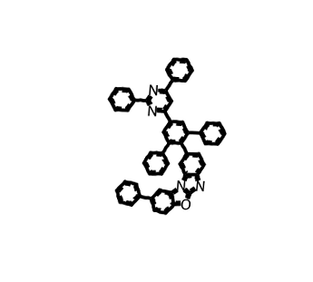 c1ccc(-c2ccc3oc4nc5ccc(-c6c(-c7ccccc7)cc(-c7cc(-c8ccccc8)nc(-c8ccccc8)n7)cc6-c6ccccc6)cc5n4c3c2)cc1